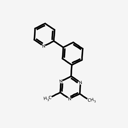 Cc1nc(C)nc(-c2cccc(-c3ccccn3)c2)n1